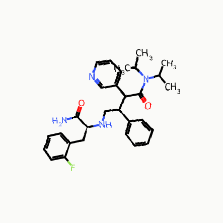 CC(C)N(C(=O)C(c1cccnc1)C(CN[C@@H](Cc1ccccc1F)C(N)=O)c1ccccc1)C(C)C